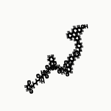 O=C(CCCCCN1C(=O)C=CC1=O)NCC(=O)NCC(=O)N[C@@H](Cc1ccccc1)C(=O)NCC(=O)NCN1C(=O)CC[C@H](N2Cc3cc(N4CCN(CC5CCN(c6ccc([C@@H]7c8ccc(O)cc8CC[C@@H]7c7ccccc7)cc6)CC5)CC4)ccc3C2=O)C1=O